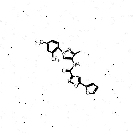 Cc1nn(-c2ccc(C(F)(F)F)cc2C(F)(F)F)cc1NC(=O)c1cc(-c2ccco2)on1